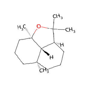 CC1(C)O[C@]2(C)CCC[C@]3(C)CCC[C@H]1[C@H]32